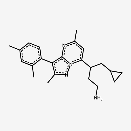 Cc1ccc(-c2c(C)nn3c(C(CCN)CC4CC4)cc(C)nc23)c(C)c1